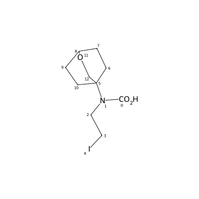 O=C(O)N(CCI)C12CCC(CC1)OC2